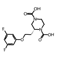 O=C(O)N1CCN(C(=O)O)[C@H](CCOc2cc(F)cc(F)c2)C1